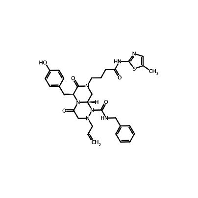 C=CCN1CC(=O)N2[C@@H](Cc3ccc(O)cc3)C(=O)N(CCCC(=O)Nc3ncc(C)s3)C[C@@H]2N1C(=O)NCc1ccccc1